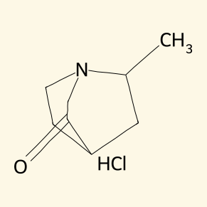 CC1CC2CCN1CC2=O.Cl